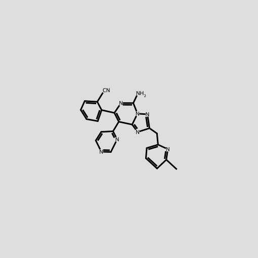 Cc1cccc(Cc2nc3c(-c4ccncn4)c(-c4ccccc4C#N)nc(N)n3n2)n1